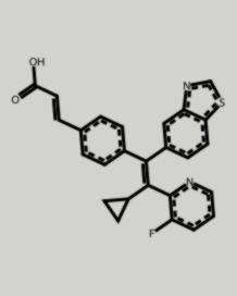 O=C(O)C=Cc1ccc(C(=C(c2ncccc2F)C2CC2)c2ccc3scnc3c2)cc1